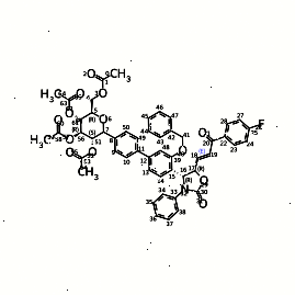 CC(=O)OC[C@H]1OC(c2ccc(-c3ccc([C@@H]4[C@@H](/C=C/C(=O)c5ccc(F)cc5)OC(=O)N4c4ccccc4)c(OCc4ccccc4)c3)cc2)[C@H](OC(C)=O)[C@@H](OC(C)=O)[C@@H]1OC(C)=O